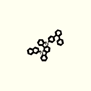 C1=C(c2ccccc2)C(c2ccc(-n3c4ccccc4c4c3ccc3c5ccccc5n(-c5ccc6ccccc6c5)c34)cc2)=CCC1